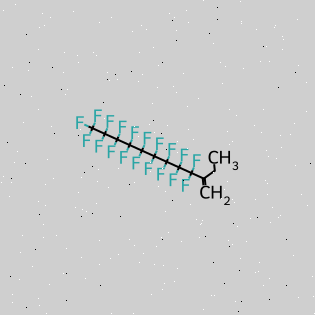 C=C(CC)C(F)(F)C(F)(F)C(F)(F)C(F)(F)C(F)(F)C(F)(F)C(F)(F)C(F)(F)C(F)(F)F